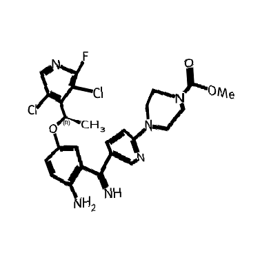 COC(=O)N1CCN(c2ccc(C(=N)c3cc(O[C@H](C)c4c(Cl)cnc(F)c4Cl)ccc3N)cn2)CC1